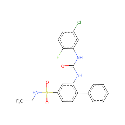 O=C(Nc1cc(Cl)ccc1F)Nc1cc(S(=O)(=O)NCC(F)(F)F)ccc1-c1ccccc1